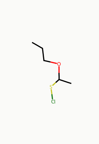 CCCOC(C)SCl